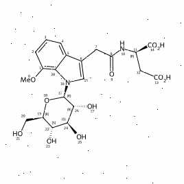 COc1cccc2c(CC(=O)N[C@H](CC(=O)O)C(=O)O)cn([C@@H]3O[C@H](CO)[C@@H](O)[C@H](O)[C@H]3O)c12